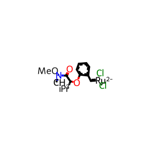 CON(C)C(=O)C(Oc1ccccc1[CH]=[Ru-2]([Cl])[Cl])C(C)C